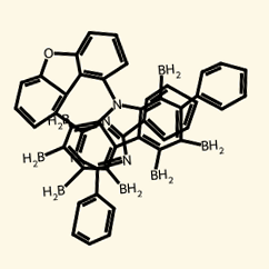 Bc1c(B)c(B)c2c(c1B)c1c(B)c(B)c(-c3ccccc3)c(B)c1n2-c1cccc2oc3cccc(-c4nc(-c5ccccc5)nc(-c5ccccc5)n4)c3c12